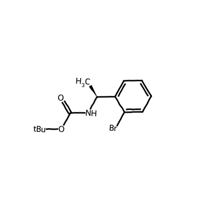 C[C@H](NC(=O)OC(C)(C)C)c1ccccc1Br